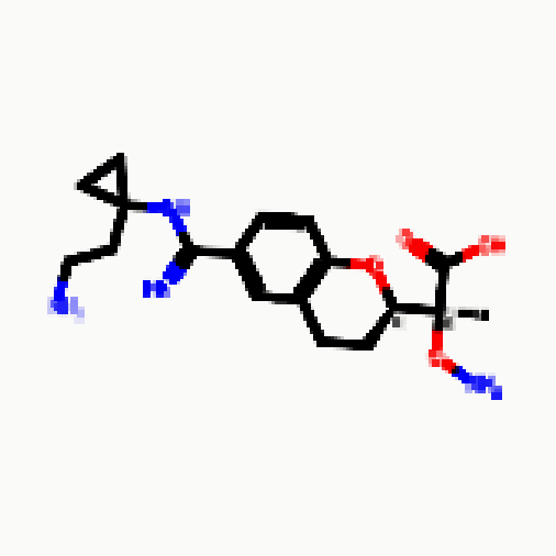 C[C@@](ON)(C(=O)O)[C@H]1CCc2cc(C(=N)NC3(CCN)CC3)ccc2O1